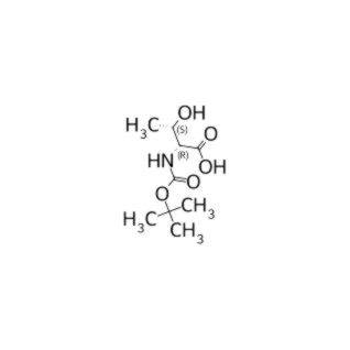 C[C@H](O)[C@@H](NC(=O)OC(C)(C)C)C(=O)O